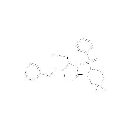 CC(C)C[C@@H](NC(=O)[C@@H]1CC(F)(F)CCN1S(=O)(=O)c1ccccc1)C(=O)NCc1cccnn1